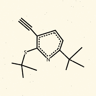 C#Cc1ccc(C(C)(C)C)nc1SC(C)(C)C